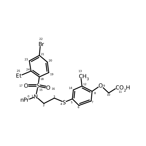 CCCN(CCSc1ccc(OCC(=O)O)c(C)c1)S(=O)(=O)c1ccc(Br)cc1CC